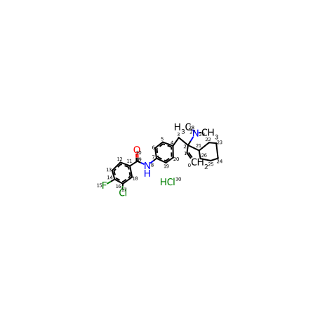 C=CC(Cc1ccc(NC(=O)c2ccc(F)c(Cl)c2)cc1)(C1CCCCC1)N(C)C.Cl